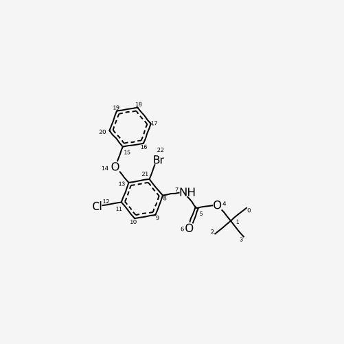 CC(C)(C)OC(=O)Nc1ccc(Cl)c(Oc2ccccc2)c1Br